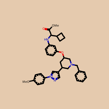 COC(=O)C(Nc1cccc(OC2CC(c3cnn(-c4ccc(OC)cc4)c3)CN(Cc3ccccc3)C2)c1)C1CCC1